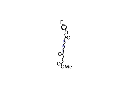 COC(=O)CCCC(=O)/C=C/C=C/C=C/C(=O)COc1ccc(F)cc1